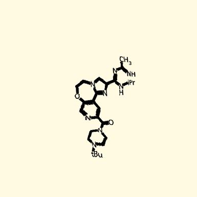 CC(=N)/N=C(\NC(C)C)C1CN2CCOc3cnc(C(=O)N4CCN(C(C)(C)C)CC4)cc3C2=N1